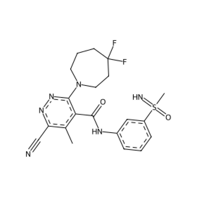 Cc1c(C#N)nnc(N2CCCC(F)(F)CC2)c1C(=O)Nc1cccc(S(C)(=N)=O)c1